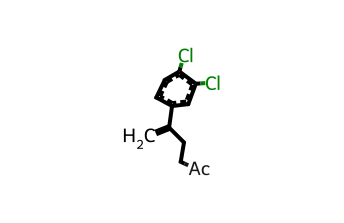 C=C(CCC(C)=O)c1ccc(Cl)c(Cl)c1